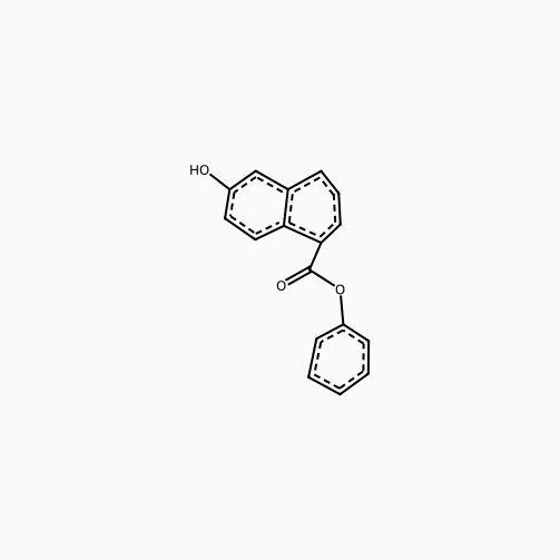 O=C(Oc1ccccc1)c1cccc2cc(O)ccc12